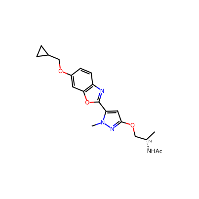 CC(=O)N[C@@H](C)COc1cc(-c2nc3ccc(OCC4CC4)cc3o2)n(C)n1